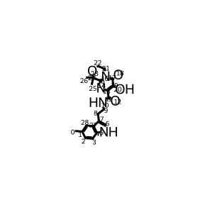 Cc1ccc2[nH]cc(CCNC(=O)c3nc4n(c(=O)c3O)CCOC4(C)C)c2c1